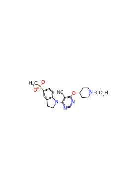 CS(=O)(=O)c1ccc2c(c1)CCN2c1ncnc(OC2CCN(C(=O)O)CC2)c1C#N